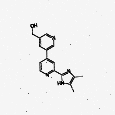 Cc1nc(-c2cc(-c3cncc(CO)c3)ccn2)[nH]c1C